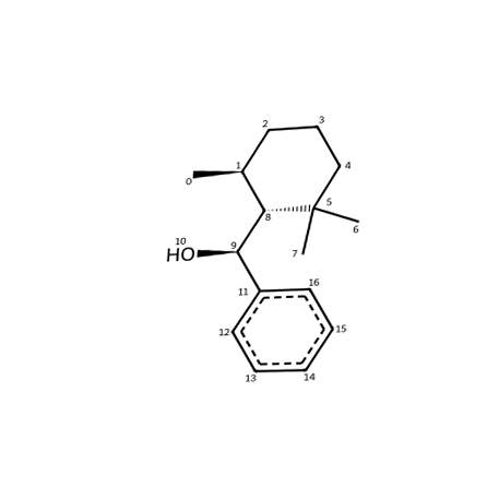 C[C@H]1CCCC(C)(C)[C@@H]1[C@H](O)c1ccccc1